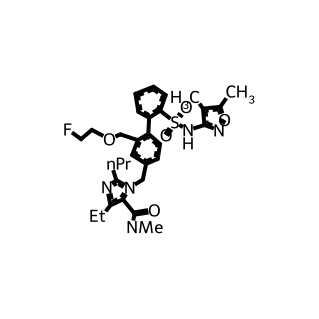 CCCc1nc(CC)c(C(=O)NC)n1Cc1ccc(-c2ccccc2S(=O)(=O)Nc2noc(C)c2C)c(COCCF)c1